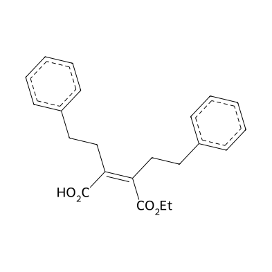 CCOC(=O)/C(CCc1ccccc1)=C(/CCc1ccccc1)C(=O)O